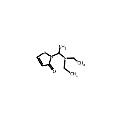 CCN(CC)C(C)n1sccc1=O